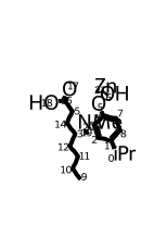 CC(C)c1ccc(OO)cc1.CCCCCCCC(=O)O.CNC.[Zn]